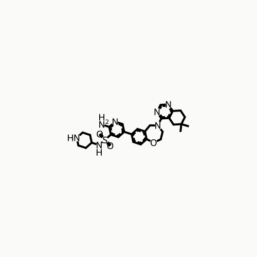 CC1(C)CCc2ncnc(N3CCOc4ccc(-c5cnc(N)c(S(=O)(=O)NC6CCNCC6)c5)cc4C3)c2C1